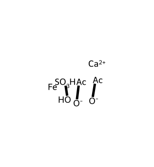 CC(=O)[O-].CC(=O)[O-].O=S(=O)(O)O.[Ca+2].[Fe]